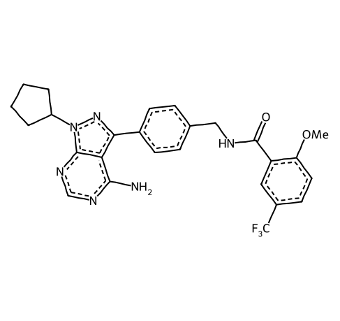 COc1ccc(C(F)(F)F)cc1C(=O)NCc1ccc(-c2nn(C3CCCC3)c3ncnc(N)c23)cc1